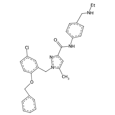 CCNCc1ccc(NC(=O)c2cc(C)n(Cc3cc(Cl)ccc3OCc3ccccc3)n2)cc1